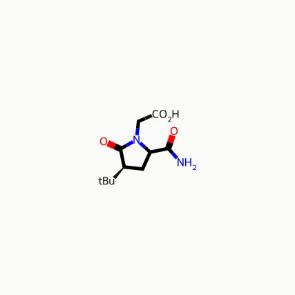 CC(C)(C)[C@@H]1CC(C(N)=O)N(CC(=O)O)C1=O